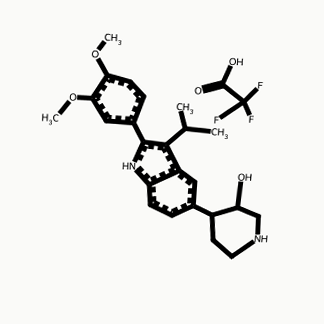 COc1ccc(-c2[nH]c3ccc(C4CCNCC4O)cc3c2C(C)C)cc1OC.O=C(O)C(F)(F)F